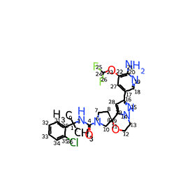 CC(C)(NC(=O)N1CC[C@]2(C1)OCCn1nc(-c3cnc(N)c(OC(F)F)c3)cc12)c1ccccc1Cl